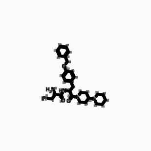 CC(C)CC(N)C(=O)NC(Cc1ccc(OCc2ccccc2)cc1)C(=O)N1CCC(N2CCCCC2)CC1